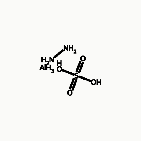 NN.O=S(=O)(O)O.[AlH3]